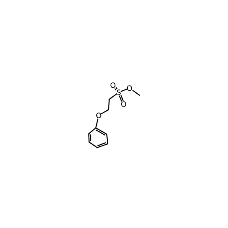 COS(=O)(=O)CCOc1ccccc1